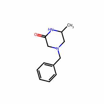 CC1CN(Cc2ccccc2)CC(=O)N1